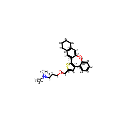 CN(C)CCCOCc1cc2c(s1)-c1cc3c(cc1Oc1ccccc1-2)CCCC3